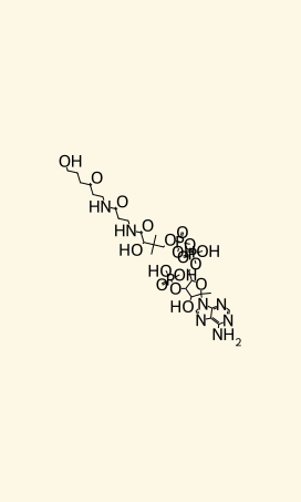 CC(C)(COP(=O)(O)OP(=O)(O)OCC1OC(C)(n2cnc3c(N)ncnc32)C(O)C1OP(=O)(O)O)C(O)C(=O)NCCC(=O)NCCC(=O)CCCO